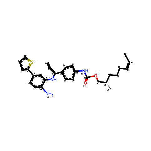 C=C=C(Nc1cc(-c2cccs2)ccc1N)c1ccc(NC(=O)OC[C@@H](C)CCC/C=C\C)cc1